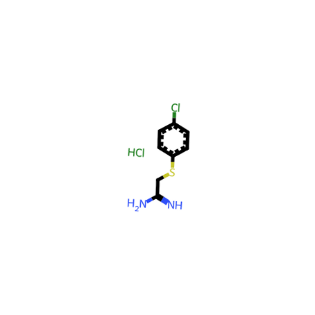 Cl.N=C(N)CSc1ccc(Cl)cc1